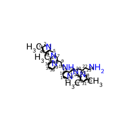 Cc1cnc(CN(CCCCNc2cccnc2CN(CCCCN)Cc2ncc(C)cc2C)Cc2ccccn2)c(C)c1